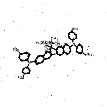 CC(C)(C)c1ccc(N(c2ccc(C(C)(C)C)cc2)c2ccc3cc4c(cc3c2)C([Si](C)(C)C)([Si](C)(C)C)c2cc3cc(N(c5ccc(C(C)(C)C)cc5)c5ccc(C(C)(C)C)cc5)ccc3cc2-4)cc1